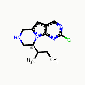 CCC(C)[C@H]1CNCc2cc3cnc(Cl)nc3n21